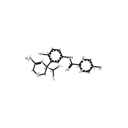 NC1=N[C@@](c2cc(NC(=O)c3ncc(Br)cn3)ccc2F)(C(F)F)COC1